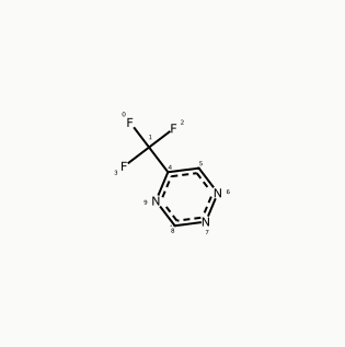 FC(F)(F)c1cnn[c]n1